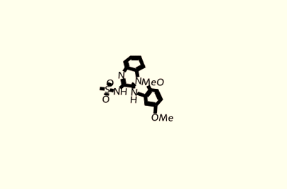 COc1ccc(OC)c(Nc2nc3ccccc3nc2NS(C)(=O)=O)c1